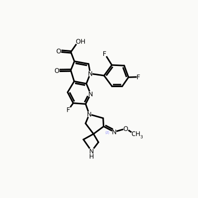 CO/N=C1\CN(c2nc3c(cc2F)c(=O)c(C(=O)O)cn3-c2ccc(F)cc2F)CC12CNC2